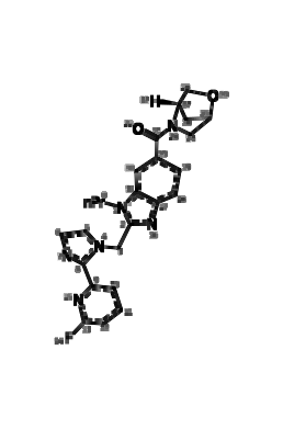 CCCn1c(Cn2ccnc2-c2cccc(F)n2)nc2ccc(C(=O)N3CC4C[C@H]3CO4)cc21